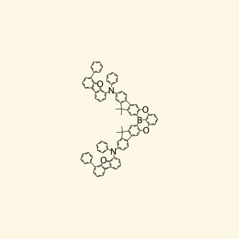 CC1(C)c2cc(N(c3ccccc3)c3cccc4c3oc3c(-c5ccccc5)cccc34)ccc2-c2cc3c(cc21)B1c2cc4c(cc2Oc2cccc(c21)O3)-c1ccc(N(c2ccccc2)c2cccc3c2oc2c(-c5ccccc5)cccc23)cc1C4(C)C